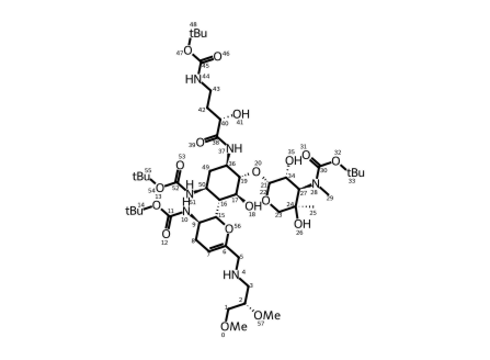 COC[C@H](CNCC1=CC[C@@H](NC(=O)OC(C)(C)C)C([C@H]2[C@H](O)[C@@H](O[C@H]3OC[C@](C)(O)[C@H](N(C)C(=O)OC(C)(C)C)[C@H]3O)[C@H](NC(=O)[C@@H](O)CCNC(=O)OC(C)(C)C)C[C@@H]2NC(=O)OC(C)(C)C)O1)OC